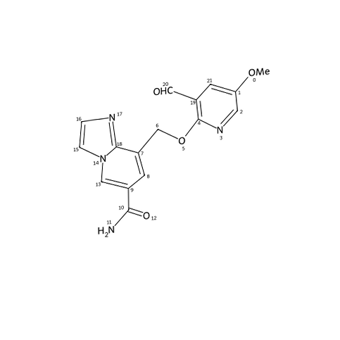 COc1cnc(OCc2cc(C(N)=O)cn3ccnc23)c(C=O)c1